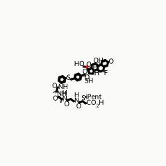 CCCC(C)SC(CC(=O)O)C(=O)NCCC(=O)N[C@@H](C)C(=O)N[C@@H](C)C(=O)Nc1cccc(SCc2ccc([C@H](OS)O[C@]3(C(=O)CO)CCC4[C@@H]5C[C@H](F)C6=CC(=O)C=C[C@]6(C)[C@@]5(F)[C@@H](O)C[C@@]43C)cc2)c1